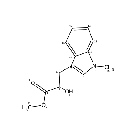 COC(=O)[C@@H](O)Cc1cn(C)c2ccccc12